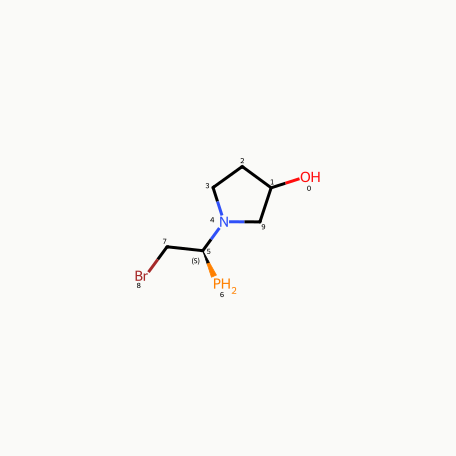 OC1CCN([C@@H](P)CBr)C1